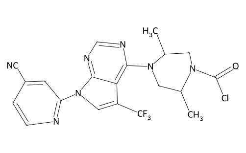 CC1CN(c2ncnc3c2c(C(F)(F)F)cn3-c2cc(C#N)ccn2)C(C)CN1C(=O)Cl